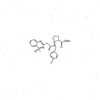 COC(=O)C1CCC[C@@H]1N(Cc1ccc(F)cc1)C(=O)CC1=Nc2ccccc2S(C)(=O)=N1